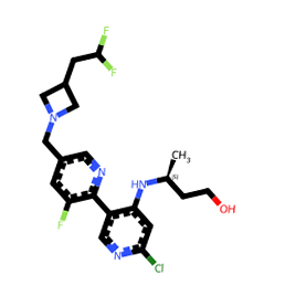 C[C@@H](CCO)Nc1cc(Cl)ncc1-c1ncc(CN2CC(CC(F)F)C2)cc1F